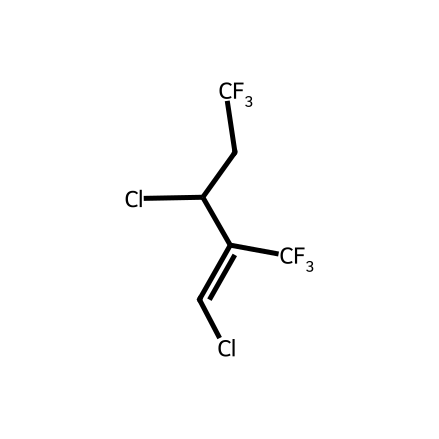 FC(F)(F)CC(Cl)/C(=C/Cl)C(F)(F)F